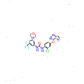 Cn1ccc2ncnc(Oc3ccc(NC(=O)Nc4cc(N5CCOCC5)cc(C(F)(F)F)c4)c(Cl)c3)c21